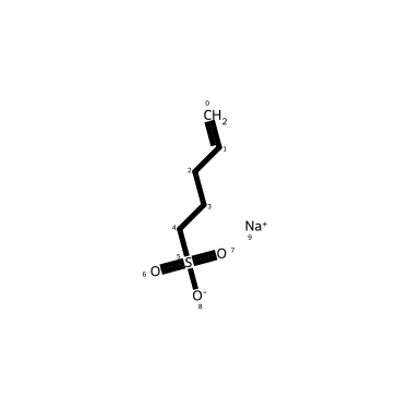 C=CCCCS(=O)(=O)[O-].[Na+]